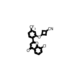 N#CC1CC(Oc2cc(C(F)(F)F)ccc2-c2cc(=O)c3cccc(Cl)c3o2)C1